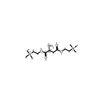 C[N+](C)(C)CCOC(=O)C[C@H](N)C(=O)OCC[N+](C)(C)C